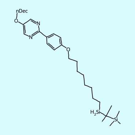 CCCCCCCCCCOc1cnc(-c2ccc(OCCCCCCCC[SiH2]C(C)(C)[Si](C)(C)C)cc2)nc1